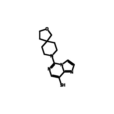 Sc1cnc(N2CCC3(CCOC3)CC2)n2ccnc12